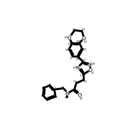 CN(Cc1ccccc1)C(=O)CCc1nc(-c2ccc3c(c2)OCCO3)no1